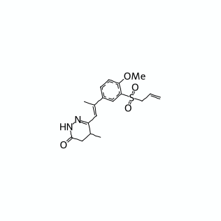 C=CCS(=O)(=O)c1cc(C(C)=CC2=NNC(=O)CC2C)ccc1OC